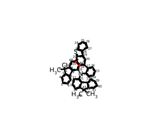 CC1(C)c2ccccc2-c2c(N(c3ccccc3-c3ccc4sc5ccccc5c4c3)c3cccc4c3-c3ccccc3C4(C)C)cccc21